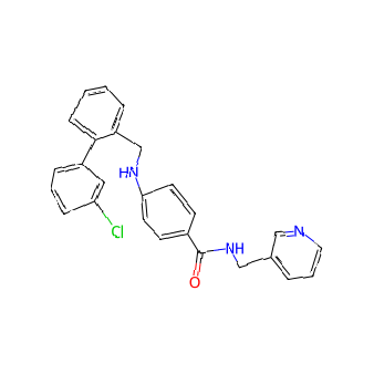 O=C(NCc1cccnc1)c1ccc(NCc2ccccc2-c2cccc(Cl)c2)cc1